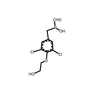 O=CN(O)Cc1cc(Cl)c(OCCO)c(Cl)c1